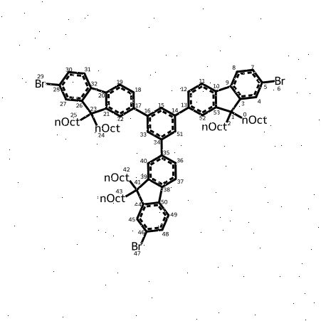 CCCCCCCCC1(CCCCCCCC)c2cc(Br)ccc2-c2ccc(-c3cc(-c4ccc5c(c4)C(CCCCCCCC)(CCCCCCCC)c4cc(Br)ccc4-5)cc(-c4ccc5c(c4)C(CCCCCCCC)(CCCCCCCC)c4cc(Br)ccc4-5)c3)cc21